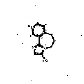 Brc1cnc2n1CCCc1ccncc1-2